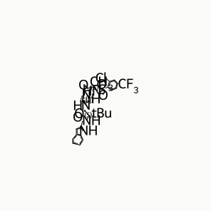 C[C@H](NS(=O)(=O)c1ccc(C(F)(F)F)cc1Cl)C(=O)N1C[C@@H]2C[C@H]1CN2C(=O)[C@@H](NC(=O)c1cc2ccccc2[nH]1)C(C)(C)C